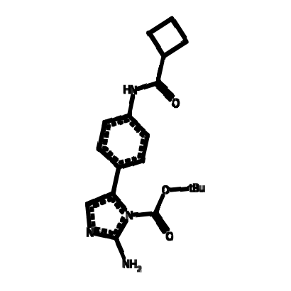 CC(C)(C)OC(=O)n1c(-c2ccc(NC(=O)C3CCC3)cc2)cnc1N